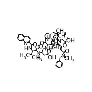 CC(C)C(NC(=O)c1ccc2ccccc2n1)C(=O)NC(CC(=O)O)C(=O)NC(C(=O)N1CC[C@H](CC(C)(C)C)[C@H]1C(=O)NN(CC(=O)O)C(=O)/C=C/C(=O)N(C)Cc1ccccc1)C(C)C